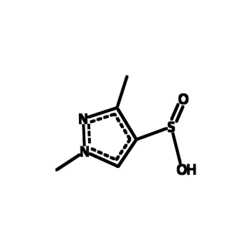 Cc1nn(C)cc1S(=O)O